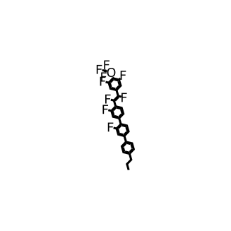 CCCc1ccc(-c2ccc(-c3ccc(/C(F)=C(\F)c4cc(F)c(OC(F)(F)F)c(F)c4)c(F)c3)c(F)c2)cc1